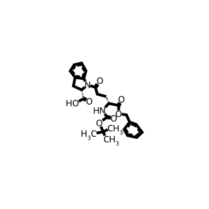 CC(C)(C)OC(=O)N[C@H](CCC(=O)N1c2ccccc2C[C@H]1C(=O)O)C(=O)OCc1ccccc1